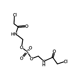 O=C(CCl)NCOS(=O)(=O)OCNC(=O)CCl